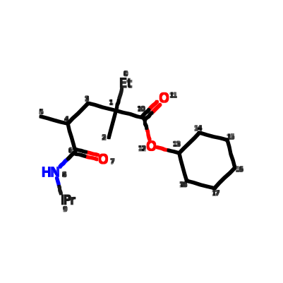 CCC(C)(CC(C)C(=O)NC(C)C)C(=O)OC1CCCCC1